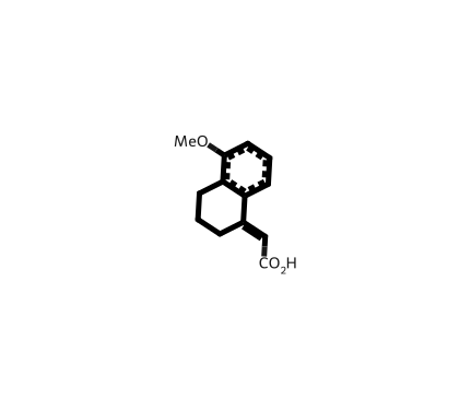 COc1cccc2c1CCC/C2=C\C(=O)O